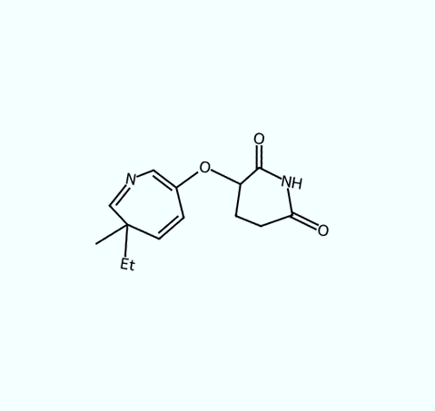 CCC1(C)C=CC(OC2CCC(=O)NC2=O)=CN=C1